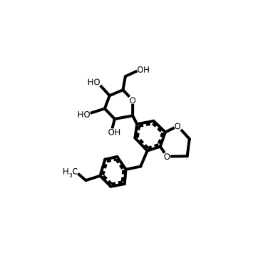 CCc1ccc(Cc2cc(C3OC(CO)C(O)C(O)C3O)cc3c2OCCO3)cc1